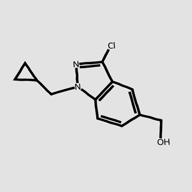 OCc1ccc2c(c1)c(Cl)nn2CC1CC1